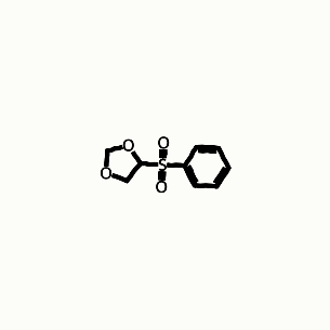 O=S(=O)(c1ccccc1)C1COCO1